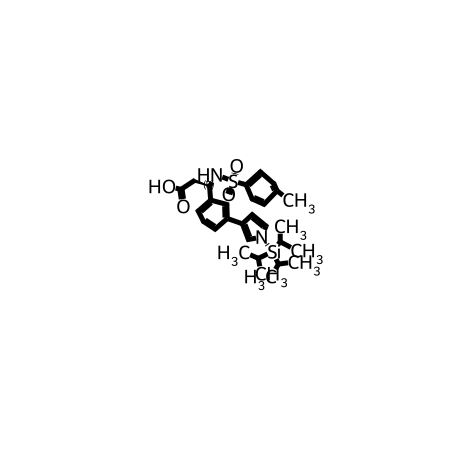 Cc1ccc(S(=O)(=O)N[C@H](CC(=O)O)c2cccc(-c3ccn([Si](C(C)C)(C(C)C)C(C)C)c3)c2)cc1